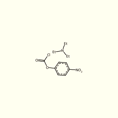 CCN(CC)CC.O=C(Cl)Oc1ccc([N+](=O)[O-])cc1